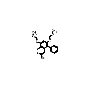 COCOc1cc(OCOC)c(-c2ccccc2)c(CC(N)=O)c1Br